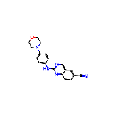 N#Cc1ccc2nc(Nc3ccc(N4CCOCC4)cc3)ncc2c1